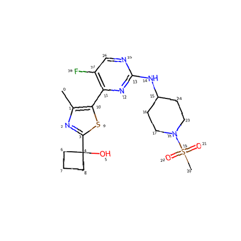 Cc1nc(C2(O)CCC2)sc1-c1nc(NC2CCN(S(C)(=O)=O)CC2)ncc1F